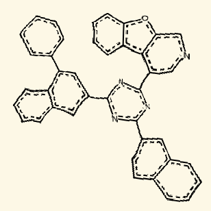 c1ccc(-c2cc(-c3nc(-c4ccc5ccccc5c4)nc(-c4cncc5oc6ccccc6c45)n3)cc3ccccc23)cc1